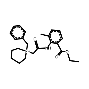 CCOC(=O)c1cccc(C)c1NC(=O)C[PH]1(Cc2ccccc2)CCCCC1